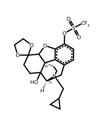 O=S(=O)(Oc1ccc2c3c1OC1C4(CCC5(O)[C@H](C2)N(CC2CC2)CC[C@@]315)OCCO4)C(F)(F)F